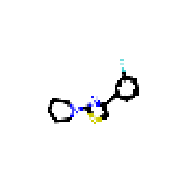 Fc1cccc(-c2csc(N3CCCCC3)n2)c1